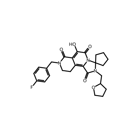 O=C1c2c(c3n(c(=O)c2O)C2(CCCC2)N(CC2CCCO2)C3=O)CCN1Cc1ccc(F)cc1